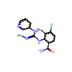 CCCCc1c(Cl)ccc(C(N)=O)c1N/C(=N/C#N)Nc1cccnc1